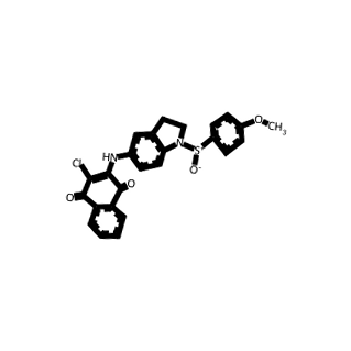 COc1ccc([S+]([O-])N2CCc3cc(NC4=C(Cl)C(=O)c5ccccc5C4=O)ccc32)cc1